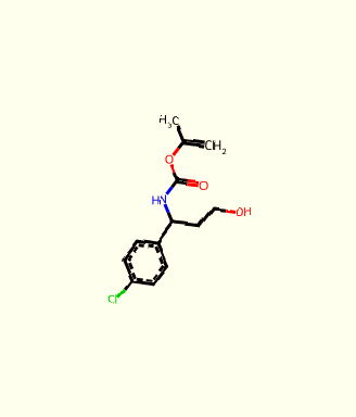 C=C(C)OC(=O)NC(CCO)c1ccc(Cl)cc1